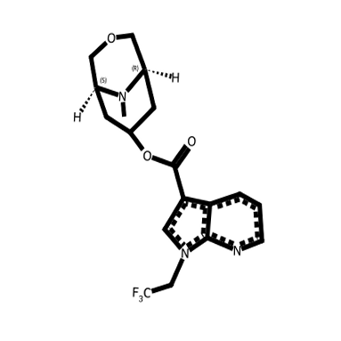 CN1[C@@H]2COC[C@H]1CC(OC(=O)c1cn(CC(F)(F)F)c3ncccc13)C2